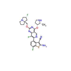 C[C@H]1NCC[C@H]1Oc1nc(OC[C@@]23CCCN2C[C@H](F)C3)nc2c(F)c(-c3ccc(F)c4sc(N)c(C#N)c34)ncc12